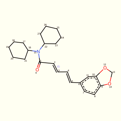 O=C(/C=C/C=Cc1ccc2c(c1)OCO2)N(C1CCCCC1)C1CCCCC1